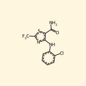 NC(=O)c1sc(C(F)(F)F)nc1Nc1ccccc1Cl